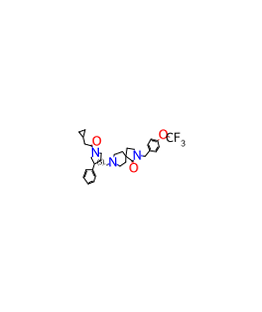 O=C(CC1CC1)N1CC(c2ccccc2)[C@@H](CN2CCC3(CC2)CCN(Cc2ccc(OC(F)(F)F)cc2)C3=O)C1